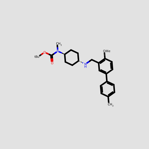 COc1ccc(-c2ccc(C)cc2)cc1CN[C@H]1CC[C@H](N(C)C(=O)OC(C)(C)C)CC1